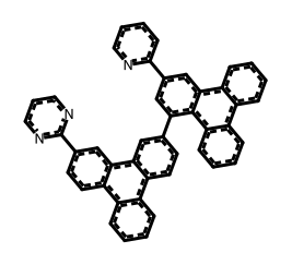 c1ccc(-c2cc(-c3ccc4c5ccccc5c5ccc(-c6ncccn6)cc5c4c3)c3c4ccccc4c4ccccc4c3c2)nc1